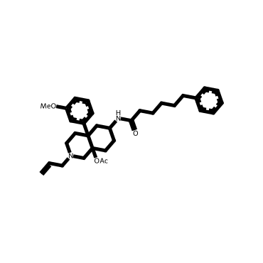 C=CCN1CCC2(c3cccc(OC)c3)CC(NC(=O)CCCCCc3ccccc3)CCC2(OC(C)=O)C1